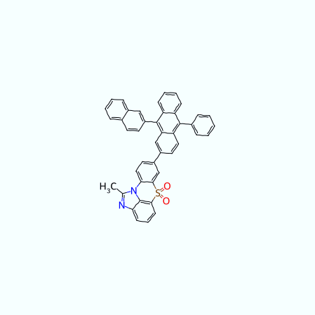 Cc1nc2cccc3c2n1-c1ccc(-c2ccc4c(-c5ccccc5)c5ccccc5c(-c5ccc6ccccc6c5)c4c2)cc1S3(=O)=O